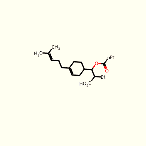 CCCC(=O)OC(C1CC=C(CCC=C(C)C)CC1)C(CC)C(=O)O